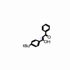 CC(C)(C)c1ccc(/C(O)=C/C(=O)c2ccccc2)cc1